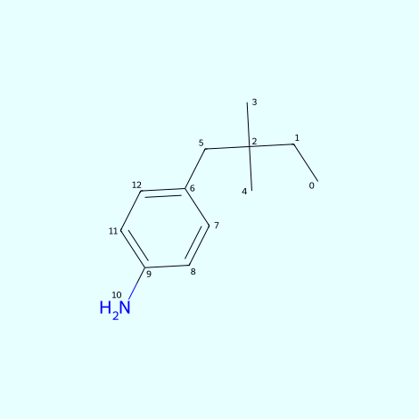 CCC(C)(C)Cc1ccc(N)cc1